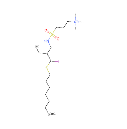 CCCCCCCCCCCCCCCCSC(I)C(CNS(=O)(=O)CCC[N+](C)(C)C)CC(C)=O